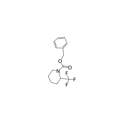 O=C(OCc1ccccc1)N1CCCCC1C(F)(F)F